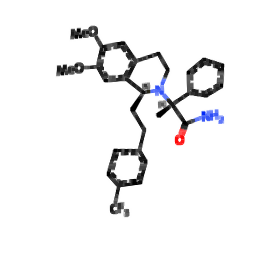 COc1cc2c(cc1OC)[C@H](CCc1ccc(C(F)(F)F)cc1)N([C@@](C)(C(N)=O)c1ccccc1)CC2